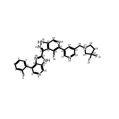 Fc1ccccc1-c1cncc2[nH]c(-c3n[nH]c4cnc(-c5cncc(CN6CCC(F)(F)C6)c5)c(F)c34)nc12